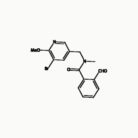 COc1ncc(CN(C)C(=O)c2ccccc2C=O)cc1Br